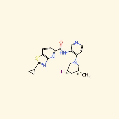 C[C@@H]1C[C@H](I)CN(c2ccncc2NC(=O)c2ccc3sc(C4CC4)nc3n2)C1